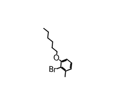 CCCCCCOc1cccc(C)c1Br